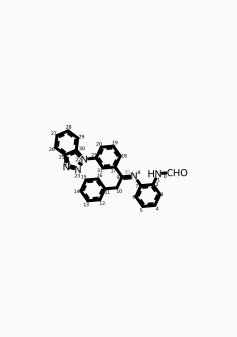 O=CNc1ccccc1/N=C(\Cc1ccccc1)c1cccc(-n2nnc3ccccc32)c1